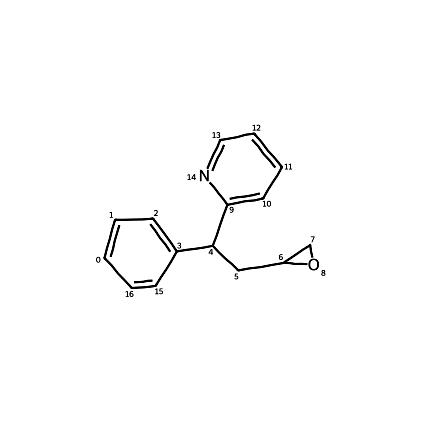 c1ccc(C(CC2CO2)c2ccccn2)cc1